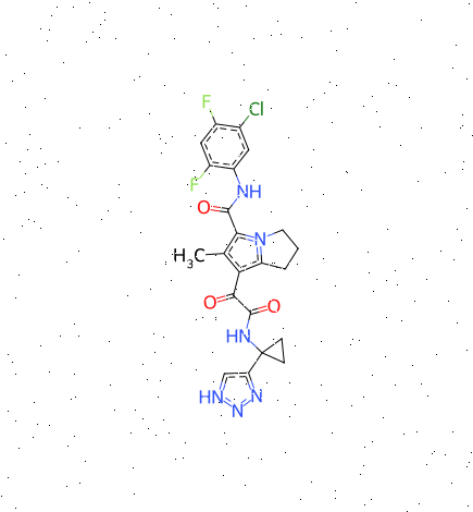 Cc1c(C(=O)C(=O)NC2(c3c[nH]nn3)CC2)c2n(c1C(=O)Nc1cc(Cl)c(F)cc1F)CCC2